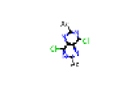 CC(=O)c1nc(Cl)c2nc(C(C)=O)nc(Cl)c2n1